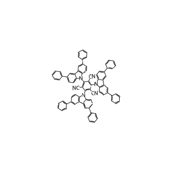 N#Cc1c(-n2c3ccc(-c4ccccc4)cc3c3cc(-c4ccccc4)ccc32)c(C#N)c(-n2c3ccc(-c4ccccc4)cc3c3cc(-c4ccccc4)ccc32)c(C#N)c1-n1c2ccc(-c3ccccc3)cc2c2cc(-c3ccccc3)ccc21